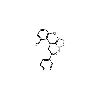 O=C(CN(C1=NCCN1)c1c(Cl)cccc1Cl)c1ccccc1